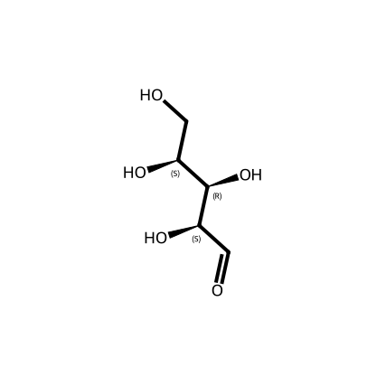 O=C[C@@H](O)[C@H](O)[C@@H](O)CO